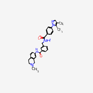 CN1CCc2ccc(NC(=O)c3cccc(CNC(=O)c4ccc(-n5ncc(C#N)c5C(F)(F)F)cc4)c3)cc2C1